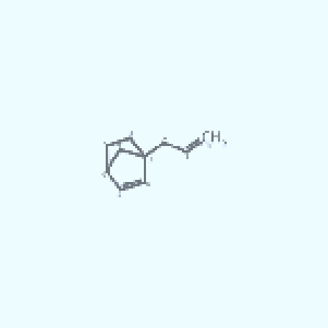 C=CCC12C=CC(CC1)C2